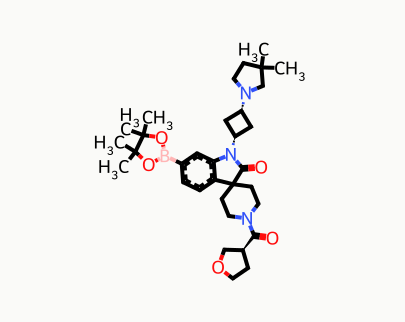 CC1(C)CCN([C@H]2C[C@@H](N3C(=O)C4(CCN(C(=O)[C@H]5CCOC5)CC4)c4ccc(B5OC(C)(C)C(C)(C)O5)cc43)C2)C1